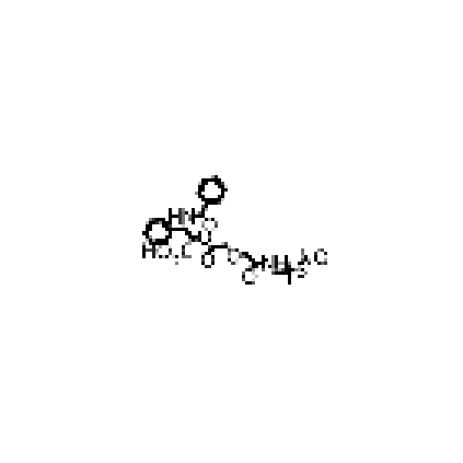 CC(C)(CNC(=O)COCC(=O)O[C@@H](C(=O)O)[C@@H](NC(=O)c1ccccc1)c1ccccc1)SN=O